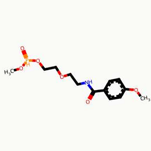 COc1ccc(C(=O)NCCOCCO[PH](=O)OC)cc1